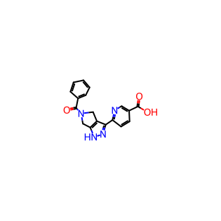 O=C(O)c1ccc(-c2n[nH]c3c2CN(C(=O)c2ccccc2)C3)nc1